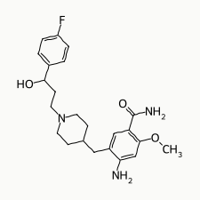 COc1cc(N)c(CC2CCN(CCC(O)c3ccc(F)cc3)CC2)cc1C(N)=O